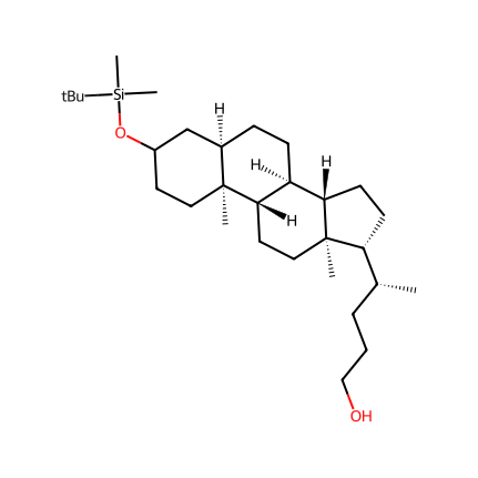 C[C@H](CCCO)[C@H]1CC[C@H]2[C@@H]3CC[C@@H]4CC(O[Si](C)(C)C(C)(C)C)CC[C@]4(C)[C@H]3CC[C@]12C